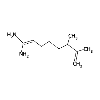 C=C(C)C(C)CCCC=C(N)N